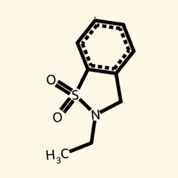 CCN1Cc2cc[c]cc2S1(=O)=O